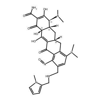 CN(C)c1cc(CNCc2cccn2C)c(N=O)c2c1C[C@H]1C[C@H]3[C@H](N(C)C)C(O)=C(C(N)=O)C(=O)[C@@]3(O)C(O)=C1C2=O